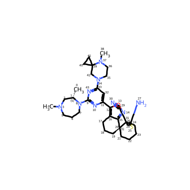 C[C@H]1CN(C)CCCN1c1nc(-c2onc3c2CCC[C@@]32CCCc3sc(N)c(C#N)c32)cc(N2CCN(C)C3(CC3)C2)n1